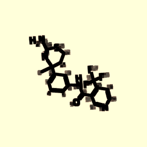 CC1(c2cccc(NC(=O)c3cnccc3C(F)(F)F)c2)CCSC(N)=N1